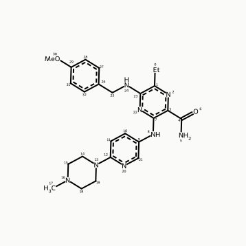 CCc1nc(C(N)=O)c(Nc2ccc(N3CCN(C)CC3)nc2)nc1NCc1ccc(OC)cc1